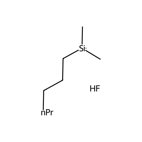 CCCCCC[Si](C)C.F